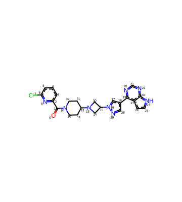 O=C(c1cccc(Cl)n1)N1CCC(N2C[C](n3cc(-c4ncnc5[nH]ccc45)cn3)C2)CC1